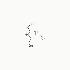 CC(O)C(NCCO)NCCO